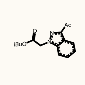 CC(=O)c1nn(CC(=O)OCC(C)C)c2ccccc12